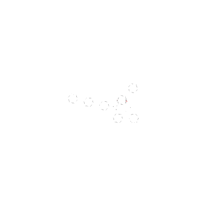 c1ccc(-c2ccc(-c3ccc(N(c4ccc(-c5ccccc5)cc4)c4cccc5c4C4(c6ccccc6-5)C5CC6CC(C5)CC4C6)cc3)cc2)cc1